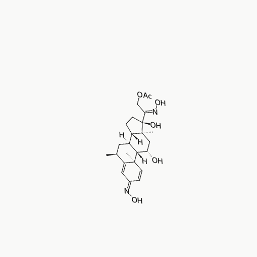 CC(=O)OC/C(=N\O)[C@@]1(O)CC[C@H]2[C@@H]3C[C@H](C)C4=C/C(=N/O)C=C[C@]4(C)[C@H]3[C@@H](O)C[C@@]21C